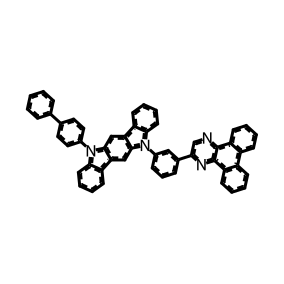 c1ccc(-c2ccc(-n3c4ccccc4c4cc5c(cc43)c3ccccc3n5-c3cccc(-c4cnc5c6ccccc6c6ccccc6c5n4)c3)cc2)cc1